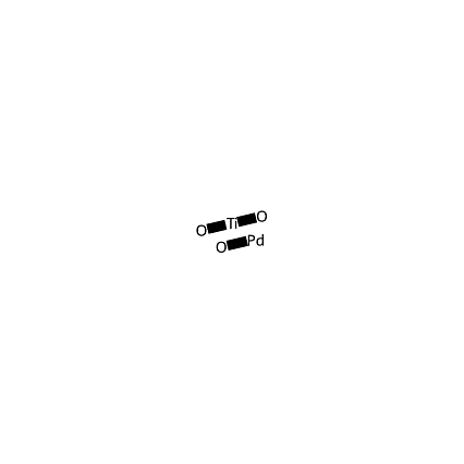 [O]=[Pd].[O]=[Ti]=[O]